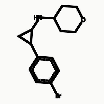 Brc1ccc(C2CC2NC2CCOCC2)cc1